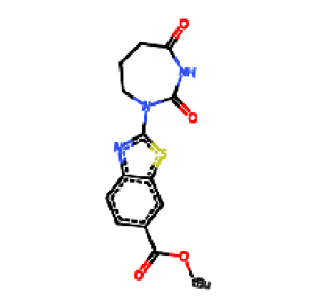 CC(C)(C)OC(=O)c1ccc2nc(N3CCCC(=O)NC3=O)sc2c1